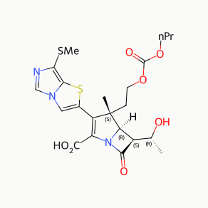 CCCOC(=O)OCC[C@@]1(C)C(c2cn3cnc(SC)c3s2)=C(C(=O)O)N2C(=O)[C@H]([C@@H](C)O)[C@@H]21